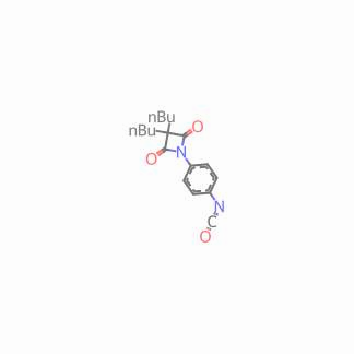 CCCCC1(CCCC)C(=O)N(c2ccc(N=C=O)cc2)C1=O